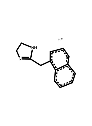 F.c1ccc2c(CC3=NCCN3)cccc2c1